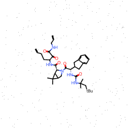 C=CCCC(NC(=O)[C@@H]1C2C(CN1C(=O)[C@@H](NC(=O)NC(C)(C)CC(C)(C)C)C1Cc3ccccc3C1)C2(C)C)C(=O)C(=O)NCC=C